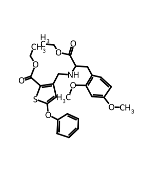 CCOC(=O)c1sc(Oc2ccccc2)cc1CNC(Cc1ccc(OC)cc1OC)C(=O)OCC